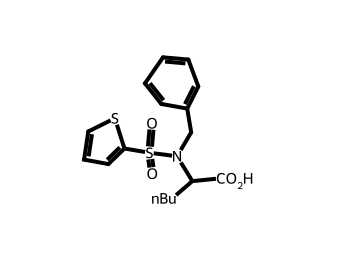 CCCCC(C(=O)O)N(Cc1ccccc1)S(=O)(=O)c1cccs1